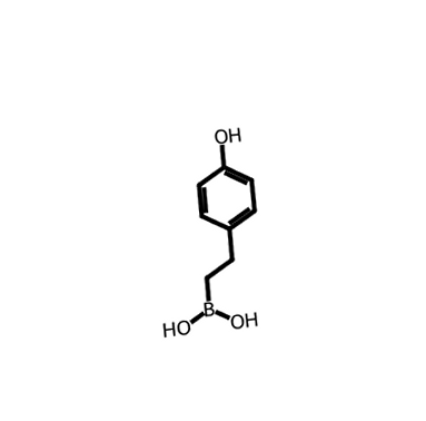 OB(O)CCc1ccc(O)cc1